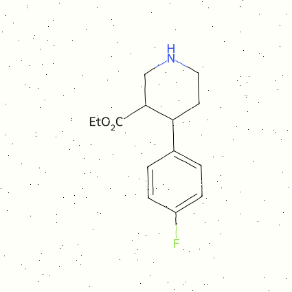 CCOC(=O)C1CNCCC1c1ccc(F)cc1